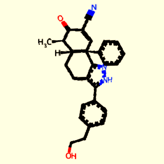 C[C@H]1C(=O)C(C#N)=C[C@]2(c3ccccc3)c3n[nH]c(-c4ccc(CCO)cc4)c3CC[C@H]12